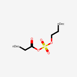 CCCCCCCCCCCCOS(=O)(=O)OC(=O)CCCCCCCCCCC